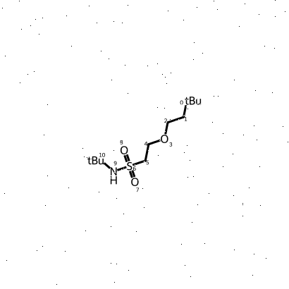 CC(C)(C)CCOCCS(=O)(=O)NC(C)(C)C